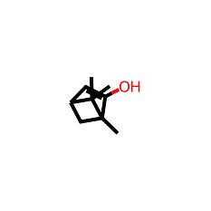 CC12CC(C=C1O)C2(C)C